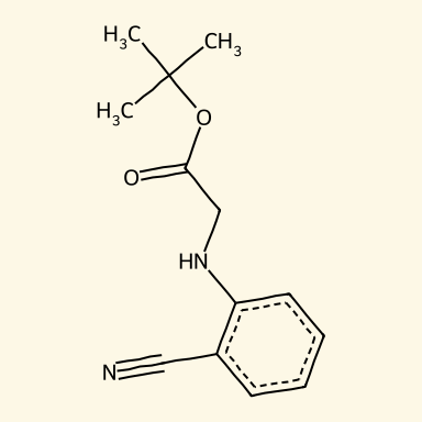 CC(C)(C)OC(=O)CNc1ccccc1C#N